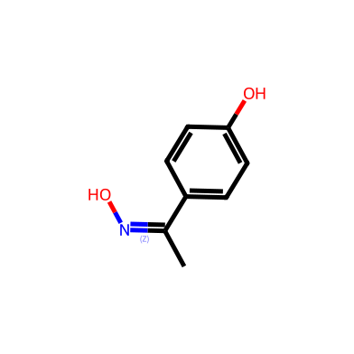 C/C(=N/O)c1ccc(O)cc1